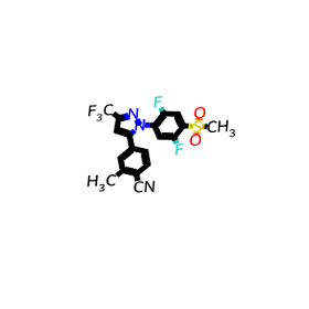 Cc1cc(-c2cc(C(F)(F)F)nn2-c2cc(F)c(S(C)(=O)=O)cc2F)ccc1C#N